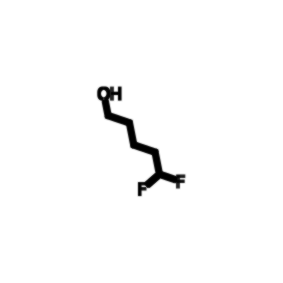 OCCCCC(F)F